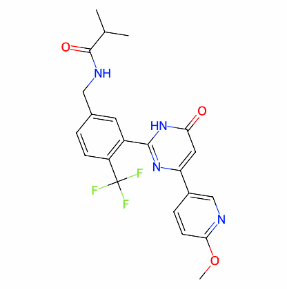 COc1ccc(-c2cc(=O)[nH]c(-c3cc(CNC(=O)C(C)C)ccc3C(F)(F)F)n2)cn1